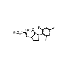 CCOC(=O)C=C[C@H]1CC[C@@H](c2c(F)cc(F)cc2F)N1C(=O)O